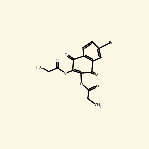 CCC(=O)OC1=C(OC(=O)CC)C(=O)c2cc(Br)ccc2C1=O